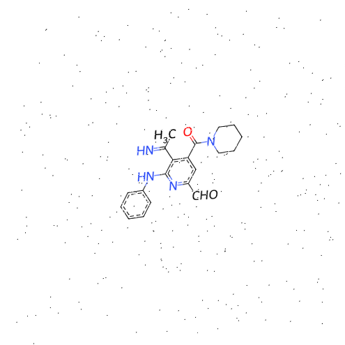 CC(=N)c1c(C(=O)N2CCCCC2)cc(C=O)nc1Nc1ccccc1